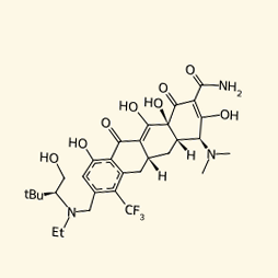 CCN(Cc1cc(O)c2c(c1C(F)(F)F)C[C@H]1C[C@H]3[C@H](N(C)C)C(O)=C(C(N)=O)C(=O)[C@@]3(O)C(O)=C1C2=O)[C@H](CO)C(C)(C)C